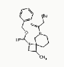 CC1CN(C(=O)OCc2ccccc2)C12CCCN(C(=S)CC(C)(C)C)C2